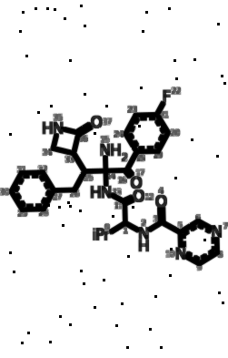 CC(C)C(NC(=O)c1cnccn1)C(=O)NC(N)(C(=O)c1ccc(F)cc1)C(Cc1ccccc1)C1CNC1=O